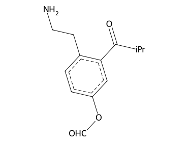 CC(C)C(=O)c1cc(OC=O)ccc1CCN